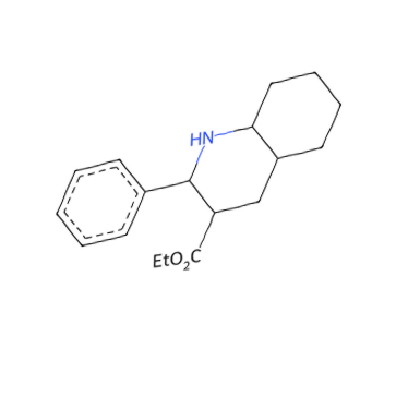 CCOC(=O)C1CC2CCCCC2NC1c1ccccc1